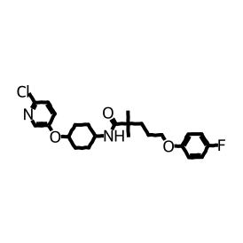 CC(C)(CCCOc1ccc(F)cc1)C(=O)NC1CCC(Oc2ccc(Cl)nc2)CC1